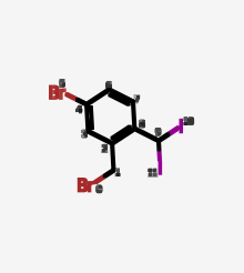 BrCc1cc(Br)ccc1C(I)I